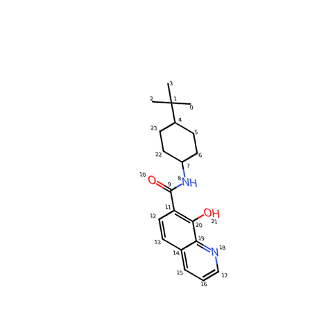 CC(C)(C)C1CCC(NC(=O)c2ccc3cccnc3c2O)CC1